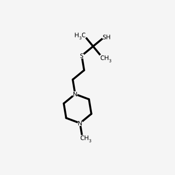 CN1CCN(CCSC(C)(C)S)CC1